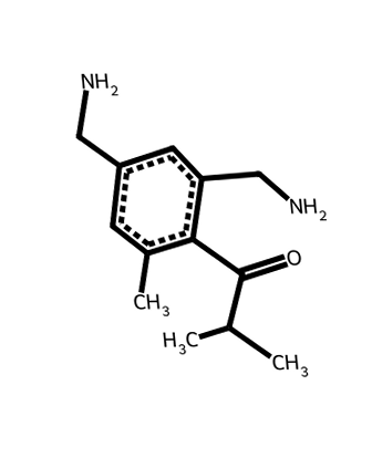 Cc1cc(CN)cc(CN)c1C(=O)C(C)C